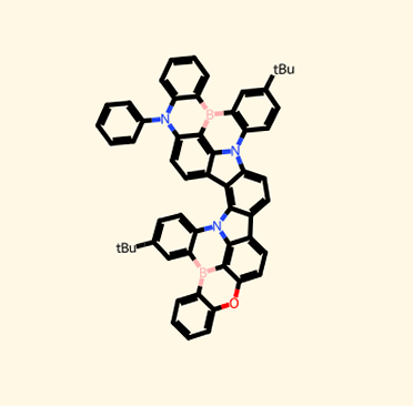 CC(C)(C)c1ccc2c(c1)B1c3ccccc3N(c3ccccc3)c3ccc4c5c(ccc6c7ccc8c9c7n(c65)-c5ccc(C(C)(C)C)cc5B9c5ccccc5O8)n-2c4c31